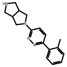 Cc1ccccc1-c1ccc(N2CC3CNCC3C2)nn1